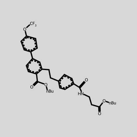 CCCCOC(=O)CCNC(=O)c1ccc(CCc2cc(-c3ccc(OC(F)(F)F)cc3)ccc2C(=O)OCCCC)cc1